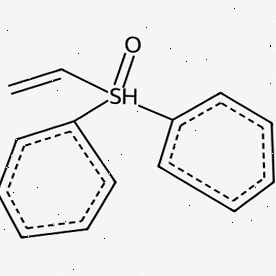 C=C[SH](=O)(c1ccccc1)c1ccccc1